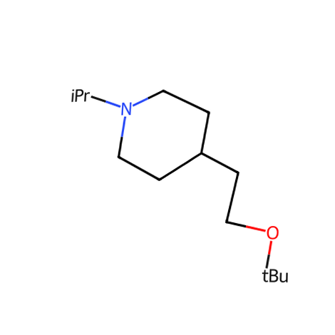 CC(C)N1CCC(CCOC(C)(C)C)CC1